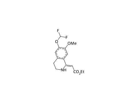 CCOC(=O)C=C1NCCc2cc(OC(F)F)c(OC)cc21